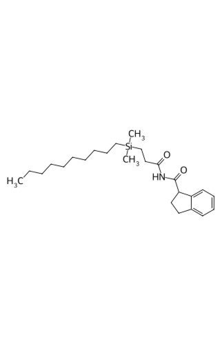 CCCCCCCCCC[Si](C)(C)CCC(=O)NC(=O)C1CCc2ccccc21